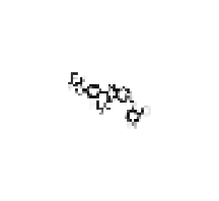 Cn1c(-c2ccc(OC(F)(F)F)cc2)nc2c1CN(Cc1ccncc1Cl)CC2